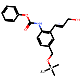 CC(C)(C)[Si](C)(C)OCc1ccc(NC(=O)Oc2ccccc2)c(/C=C/CO)c1